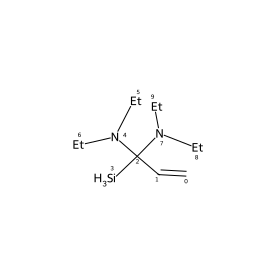 C=CC([SiH3])(N(CC)CC)N(CC)CC